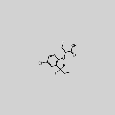 CCC(F)(F)c1cc(Cl)ccc1OC(CF)C(=O)O